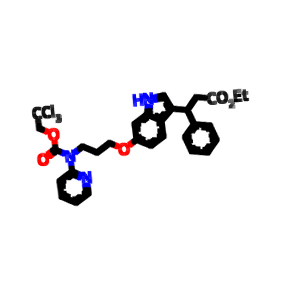 CCOC(=O)CC(c1ccccc1)c1c[nH]c2cc(OCCCN(C(=O)OCC(Cl)(Cl)Cl)c3ccccn3)ccc12